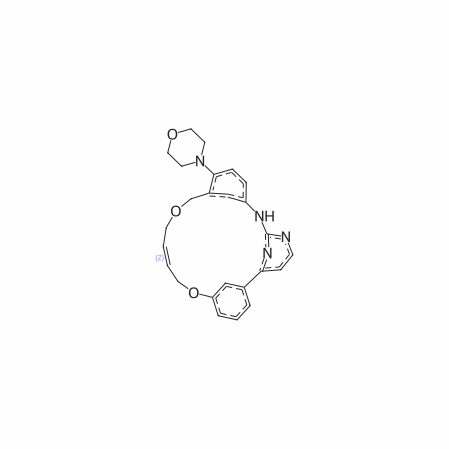 C1=C\COc2cccc(c2)-c2ccnc(n2)Nc2ccc(N3CCOCC3)c(c2)COC/1